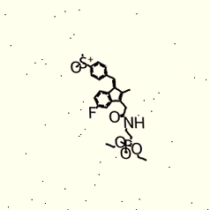 CCOP(=O)(CCNC(=O)CC1=C(C)/C(=C/c2ccc([S+](C)[O-])cc2)c2ccc(F)cc21)OCC